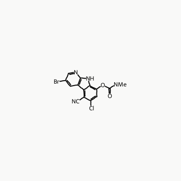 CNC(=O)Oc1cc(Cl)c(C#N)c2c1[nH]c1ncc(Br)cc12